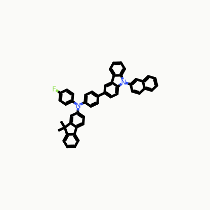 CC1(C)c2ccccc2-c2ccc(N(c3ccc(F)cc3)c3ccc(-c4ccc5c(c4)c4ccccc4n5-c4ccc5ccccc5c4)cc3)cc21